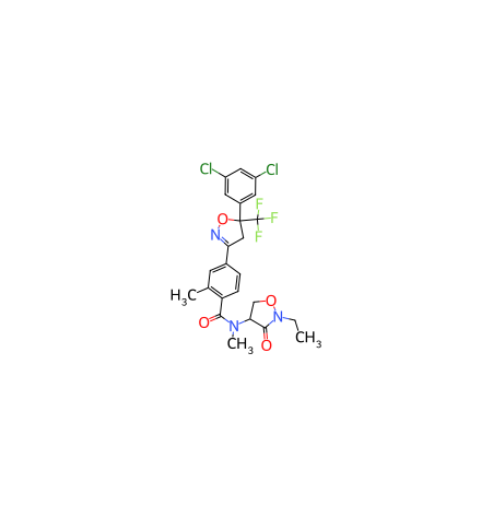 CCN1OCC(N(C)C(=O)c2ccc(C3=NOC(c4cc(Cl)cc(Cl)c4)(C(F)(F)F)C3)cc2C)C1=O